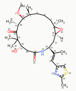 CCC(C)O[C@H]1[C@@H](C)CCC[C@@]2(C)O[C@H]2C[C@@H](/C(C)=C/c2csc(C)n2)NC(=O)C[C@H](O)C(C)(C)C(=O)[C@@H]1C